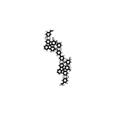 C=Cc1ccc(Oc2ccc(C3(c4cccc(F)c4)c4ccccc4-c4ccc(N(c5ccc(-c6ccc(N(c7cccc(F)c7)c7ccc8c(c7)C(c7ccc(Oc9ccc(C=C)cc9)cc7)(c7cccc(F)c7)c7ccccc7-8)cc6)cc5)c5cccc(F)c5)cc43)cc2)cc1